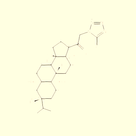 Cc1nnnn1CC(=O)C1CC[C@H]2[C@@H]3CC[C@@H]4C[C@@](O)(C(F)F)CC[C@@H]4[C@H]3CC[C@]12C